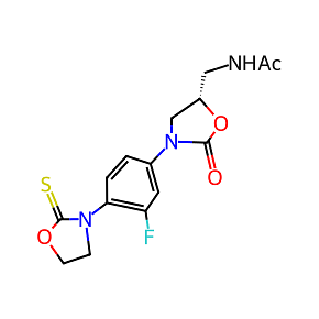 CC(=O)NC[C@H]1CN(c2ccc(N3CCOC3=S)c(F)c2)C(=O)O1